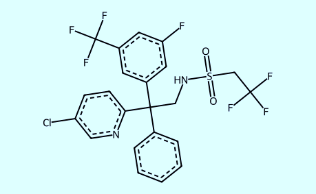 O=S(=O)(CC(F)(F)F)NCC(c1ccccc1)(c1cc(F)cc(C(F)(F)F)c1)c1ccc(Cl)cn1